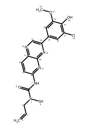 C=CCN(S)C(=O)Nc1ccc2ncc(-c3cc(Cl)c(O)c(OC)c3)nc2n1